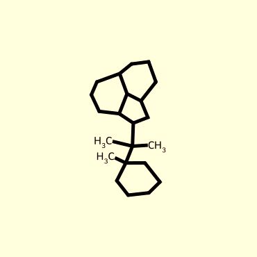 CC1(C(C)(C)C2CC3CCCC4CCCC2C43)CCCCC1